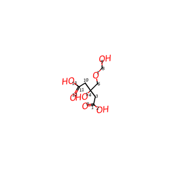 O=C(O)CC(O)(COCO)CC(=O)O